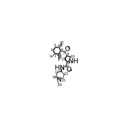 Cc1ccc(F)c(C(=O)c2c[nH]c(C(=O)NC3CCN(C)CC3)c2)c1F